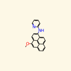 COc1cc2cccc3ccc4c(Nc5ccccn5)ccc1c4c32